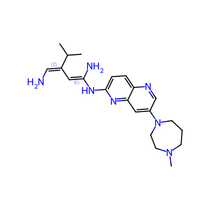 CC(C)C(=C/N)/C=C(\N)Nc1ccc2ncc(N3CCCN(C)CC3)cc2n1